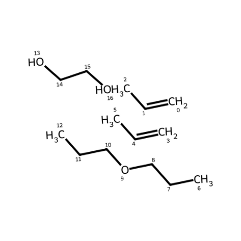 C=CC.C=CC.CCCOCCC.OCCO